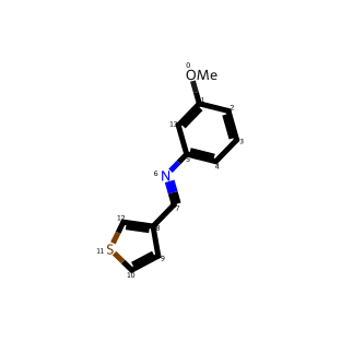 COc1cccc(/N=C/c2ccsc2)c1